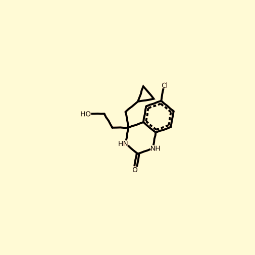 O=C1Nc2ccc(Cl)cc2C(CCO)(CC2CC2)N1